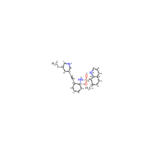 CCc1cncc(C#Cc2ccccc2NS(=O)(=O)c2c(C)ccc3cccnc23)c1